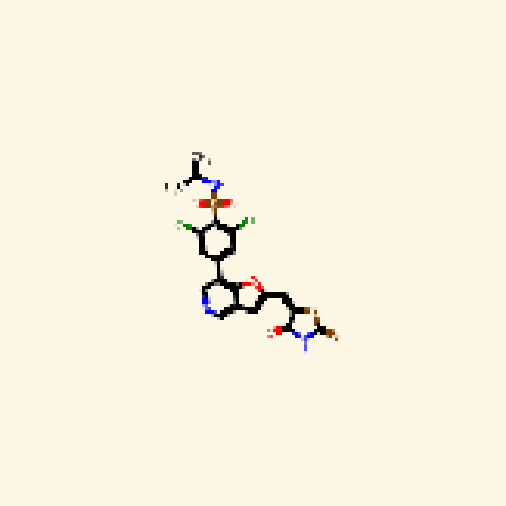 CC(C)NS(=O)(=O)c1c(Cl)cc(-c2cncc3cc(/C=C4/SC(=S)NC4=O)oc23)cc1Cl